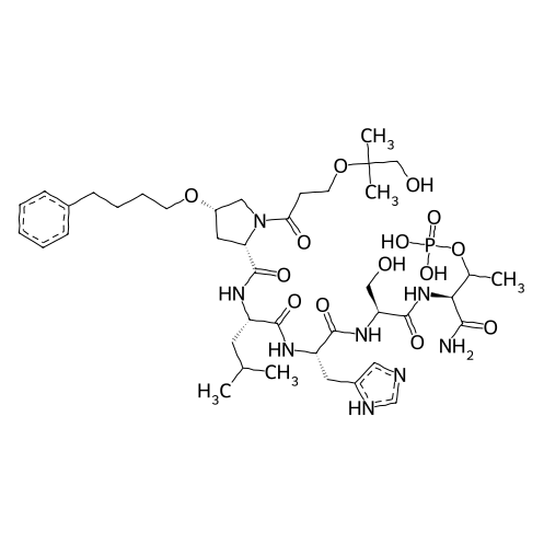 CC(C)C[C@H](NC(=O)[C@@H]1C[C@H](OCCCCc2ccccc2)CN1C(=O)CCOC(C)(C)CO)C(=O)N[C@@H](Cc1cnc[nH]1)C(=O)N[C@@H](CO)C(=O)N[C@H](C(N)=O)C(C)OP(=O)(O)O